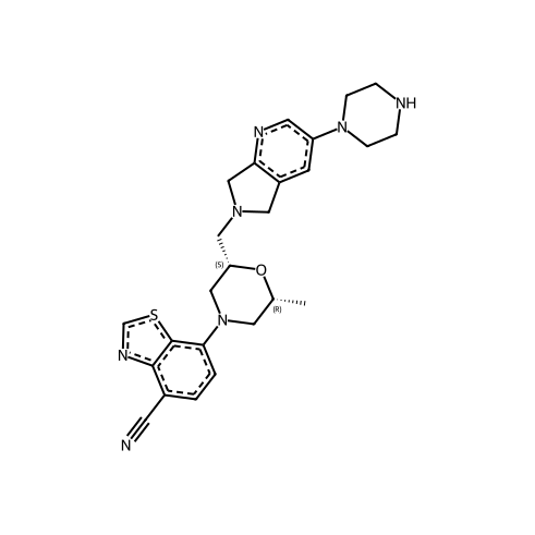 C[C@@H]1CN(c2ccc(C#N)c3ncsc23)C[C@H](CN2Cc3cc(N4CCNCC4)cnc3C2)O1